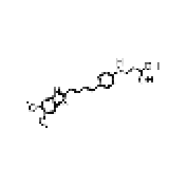 COc1cc2nc(/C=C/C=C/c3ccc(NCCC(O)O)cc3)sc2cc1OC